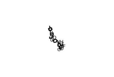 CCC(OC1CCC(Nc2ccc([N+](=O)[O-])c(C(F)(F)F)c2)CC1)C(=O)N1CCN(c2ccc(C)cc2)CC1